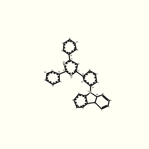 C1=CC2c3ccccc3N(c3cccc(-c4cc(-c5ccccc5)nc(-c5ccccc5)n4)c3)C2C=C1